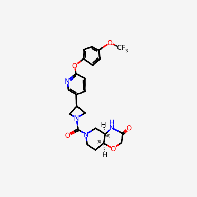 O=C1CO[C@H]2CCN(C(=O)N3CC(c4ccc(Oc5ccc(OC(F)(F)F)cc5)nc4)C3)C[C@H]2N1